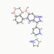 COc1cc2[nH]nc(-c3ccc([C@@H]4CCCN4)nc3)c2nc1-c1cccc2c1CCCO2